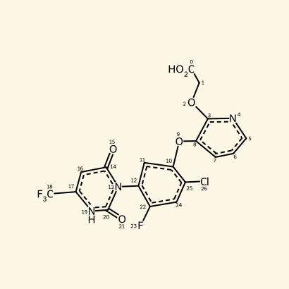 O=C(O)COc1ncccc1Oc1cc(-n2c(=O)cc(C(F)(F)F)[nH]c2=O)c(F)cc1Cl